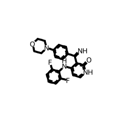 N=C(c1ccc(N2CCOCC2)cc1)c1c(Nc2c(F)cccc2F)cc[nH]c1=O